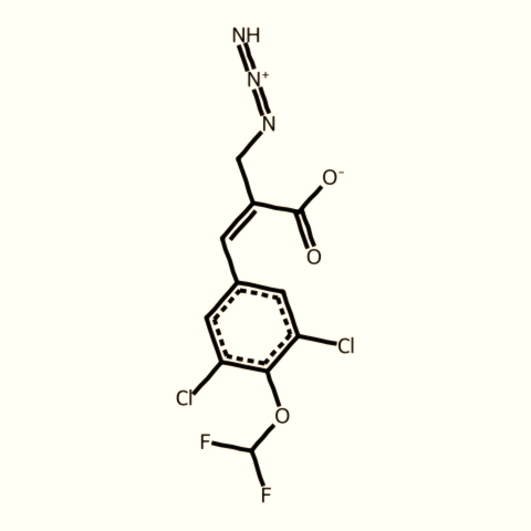 N=[N+]=NCC(=Cc1cc(Cl)c(OC(F)F)c(Cl)c1)C(=O)[O-]